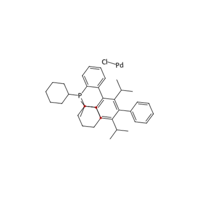 CC(C)c1cc(C(C)C)c(-c2ccccc2P(C2CCCCC2)C2CCCCC2)c(C(C)C)c1-c1ccccc1.[Cl][Pd]